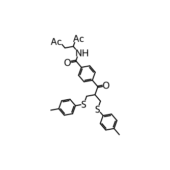 CC(=O)CC(NC(=O)c1ccc(C(=O)C(CSc2ccc(C)cc2)CSc2ccc(C)cc2)cc1)C(C)=O